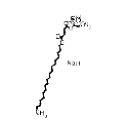 CCCCCCCCCCCCCCCCCCCCOC(=O)C=CC(=O)OC(CC)S(=O)(=O)O.[NaH]